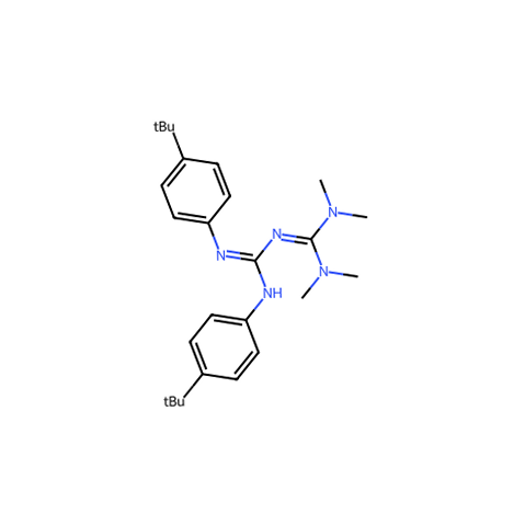 CN(C)C(=N/C(=N\c1ccc(C(C)(C)C)cc1)Nc1ccc(C(C)(C)C)cc1)N(C)C